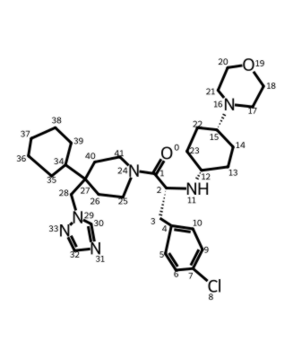 O=C([C@@H](Cc1ccc(Cl)cc1)N[C@H]1CC[C@@H](N2CCOCC2)CC1)N1CCC(Cn2cncn2)(C2CCCCC2)CC1